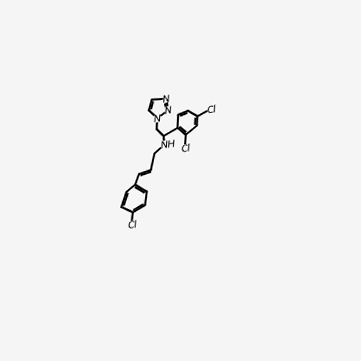 Clc1ccc(C=CCNC(Cn2ccnn2)c2ccc(Cl)cc2Cl)cc1